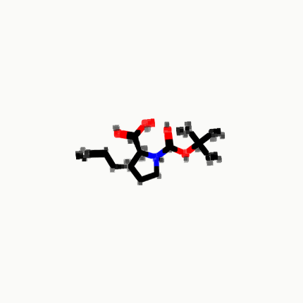 C=CC[C@H]1CCN(C(=O)OC(C)(C)C)[C@@H]1C(=O)O